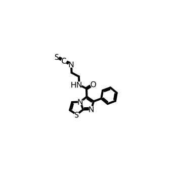 O=C(NCCN=C=S)c1c(-c2ccccc2)nc2sccn12